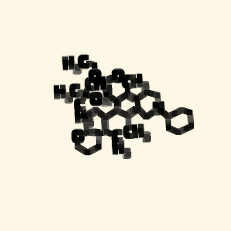 CCOC(=O)[C@@H](OC(C)(C)C)c1c(C)c2c(c(C)c1-c1ccc3c(c1C)CCCO3)CN(C1CCCCC1)CC2